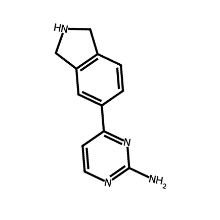 Nc1nccc(-c2ccc3c(c2)CNC3)n1